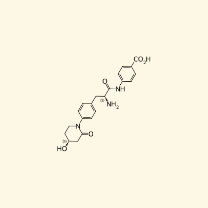 N[C@@H](Cc1ccc(N2CC[C@H](O)CC2=O)cc1)C(=O)Nc1ccc(C(=O)O)cc1